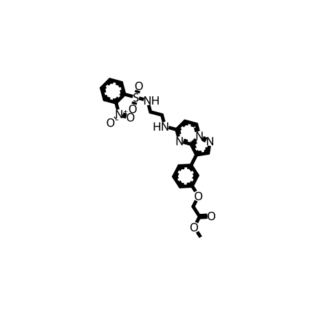 COC(=O)COc1cccc(-c2cnn3ccc(NCCNS(=O)(=O)c4ccccc4[N+](=O)[O-])nc23)c1